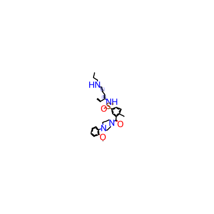 C=C/C(=C\C=C\NCCC)N[S+]([O-])c1ccc(C)c(C(=O)N2CCN(c3ccccc3OC)CC2)c1